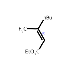 CCCC/C(=C/C(=O)OCC)C(F)(F)F